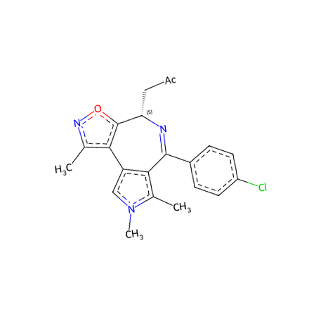 CC(=O)C[C@@H]1N=C(c2ccc(Cl)cc2)c2c(cn(C)c2C)-c2c(C)noc21